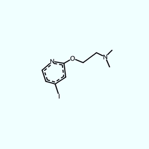 CN(C)CCOc1cc(I)ccn1